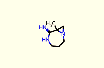 CC12CN1CCCNC2=N